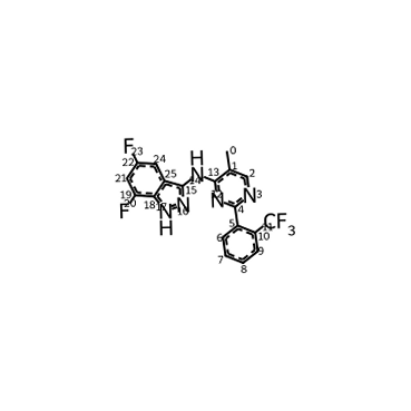 Cc1cnc(-c2ccccc2C(F)(F)F)nc1Nc1n[nH]c2c(F)cc(F)cc12